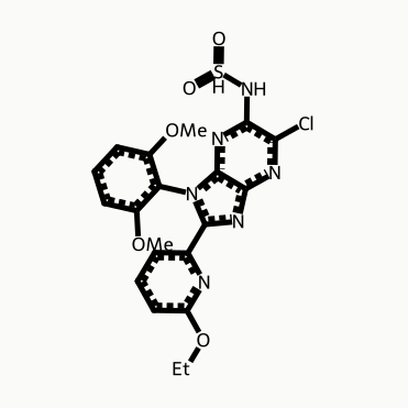 CCOc1cccc(-c2nc3nc(Cl)c(N[SH](=O)=O)nc3n2-c2c(OC)cccc2OC)n1